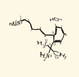 CCCCCCCCCCCCCc1ccccc1C(C)(C)N.Cl